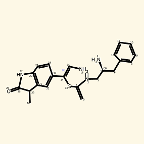 C=C(NC[C@@H](N)Cc1ccccc1)S/C(=C\N)c1ccc2c(c1)C(C)C(=O)N2